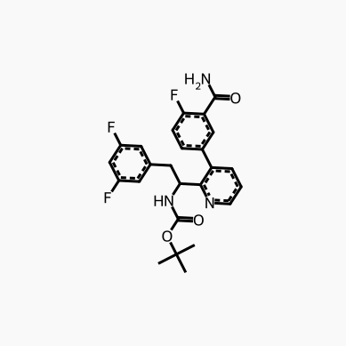 CC(C)(C)OC(=O)NC(Cc1cc(F)cc(F)c1)c1ncccc1-c1ccc(F)c(C(N)=O)c1